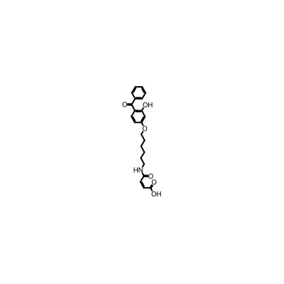 O=C(O)/C=C\C(=O)NCCCCCCOc1ccc(C(=O)c2ccccc2)c(O)c1